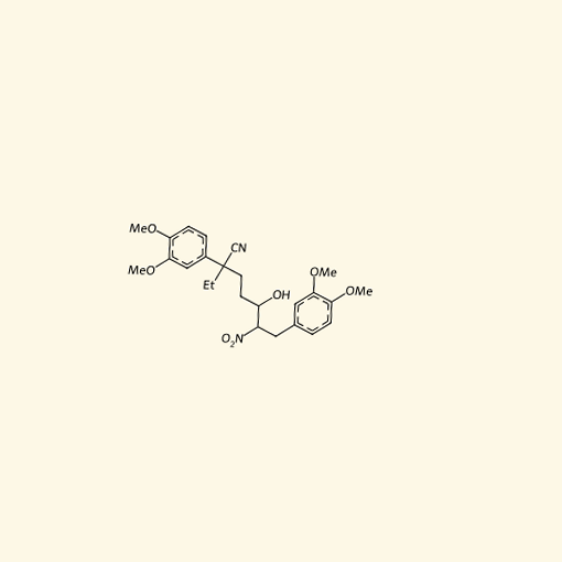 CCC(C#N)(CCC(O)C(Cc1ccc(OC)c(OC)c1)[N+](=O)[O-])c1ccc(OC)c(OC)c1